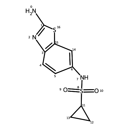 Nc1nc2ccc(NS(=O)(=O)C3CC3)cc2s1